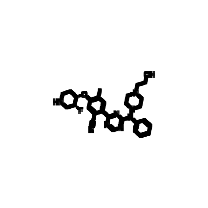 Cc1cc(-c2ncnc(N(c3ccccc3)N3CCN(CCO)CC3)n2)c(C#N)cc1O[C@H]1CCNC[C@H]1F